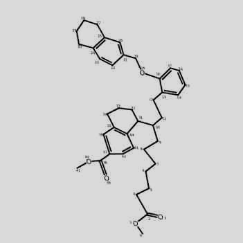 COC(=O)CCCCCCC(CCc1ccccc1OCc1ccc2c(c1)CCCC2)C1CCCc2cc(C(=O)OC)ccc21